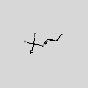 [CH2]CC=NC(F)(F)F